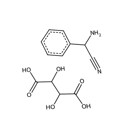 N#CC(N)c1ccccc1.O=C(O)C(O)C(O)C(=O)O